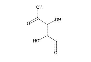 O=CC(O)C(O)C(=O)O